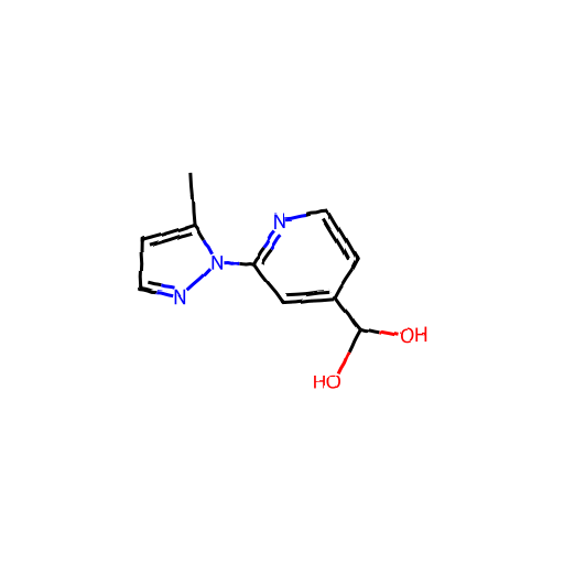 Cc1ccnn1-c1cc(C(O)O)ccn1